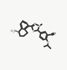 CC(C)Oc1ccc(C2SC(c3cccc4c3CCC[C@H]4N)=NN2C)cc1C#N